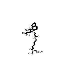 CC1(C)/C(=C\C=C(C#N)C#N)N(CCC(=O)NCCCCCC(=O)N(CC(=O)O)CC(=O)O)c2ccc3ccccc3c21